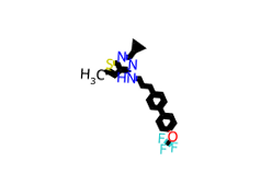 Cc1cc2c(NCCCc3ccc(-c4ccc(OC(F)(F)F)cc4)cc3)nc(C3CC3)nc2s1